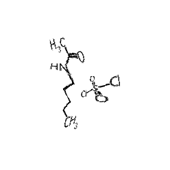 CCCCCNC(C)=O.O=S(=O)(Cl)Cl